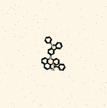 c1ccc(-c2nc3ccc4cccc(N(c5ccccc5)c5ccc6c(c5)c5ccccc5n6-c5ccccc5)c4c3o2)cc1